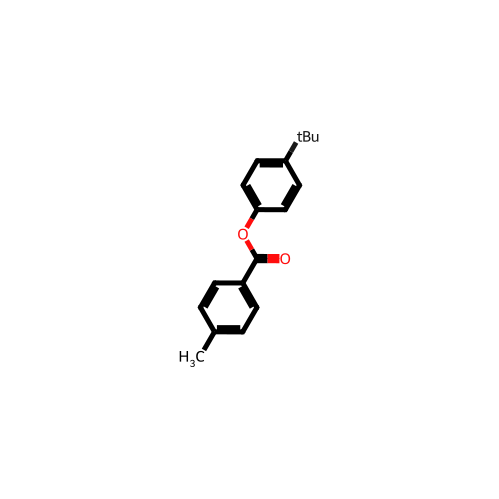 Cc1ccc(C(=O)Oc2ccc(C(C)(C)C)cc2)cc1